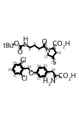 CC(C)(C)OC(=O)NCCCC(=O)N1CC(=S)C[C@H]1C(=O)O.N[C@@H](Cc1ccc(OCc2c(Cl)cccc2Cl)cc1)C(=O)O